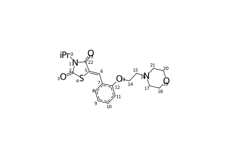 CC(C)N1C(=O)S/C(=C\c2ccccc2OCCN2CCOCC2)C1=O